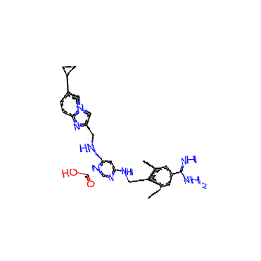 Cc1cc(C(=N)N)cc(C)c1CNc1cc(NCc2cn3cc(C4CC4)ccc3n2)ncn1.O=CO